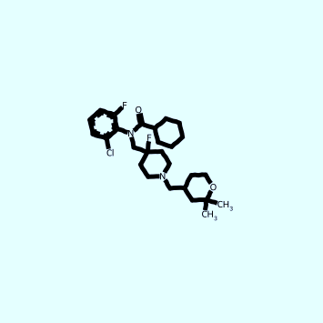 CC1(C)CC(CN2CCC(F)(CN(C(=O)C3CCCCC3)c3c(F)cccc3Cl)CC2)CCO1